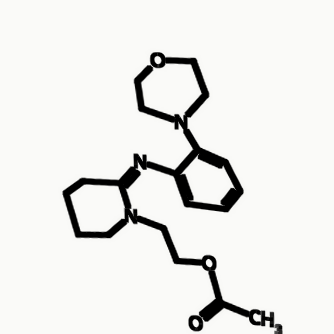 CC(=O)OCCN1CCCCC1=Nc1ccccc1N1CCOCC1